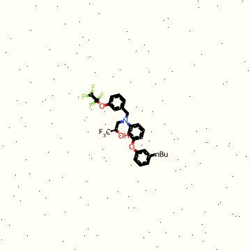 CCCCc1cccc(Oc2cccc(N(Cc3cccc(OC(F)(F)C(F)F)c3)C[C@@H](O)C(F)(F)F)c2)c1